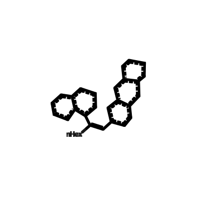 CCCCCCC(=Cc1ccc2cc3ccccc3cc2c1)c1cccc2ccccc12